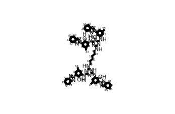 Cc1cc(Nc2nc(NCCCCCCNc3nc(Nc4cc(C)cc(-n5nc6ccccc6n5)c4O)nc(Nc4cc(C)cc(-n5nc6ccccc6n5)c4O)n3)nc(Nc3cc(C)cc(-n4nc5ccccc5n4)c3O)n2)c(O)c(-n2nc3ccccc3n2)c1